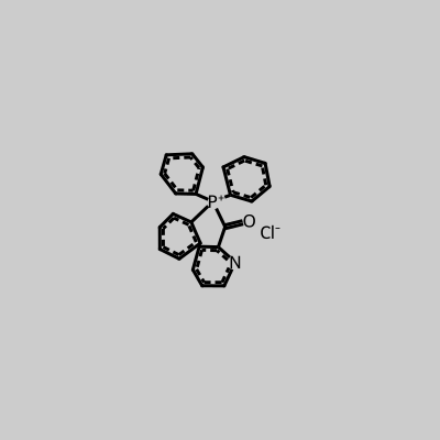 O=C(c1ccccn1)[P+](c1ccccc1)(c1ccccc1)c1ccccc1.[Cl-]